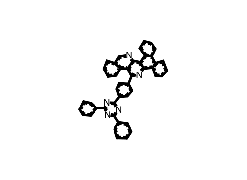 c1ccc(-c2nc(-c3ccccc3)nc(-c3ccc(-c4nc5c6ccccc6c6ccccc6c5c5ncc6ccccc6c45)cc3)n2)cc1